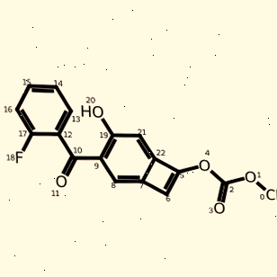 COC(=O)OC1=Cc2cc(C(=O)c3ccccc3F)c(O)cc21